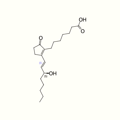 CCCCC[C@H](O)/C=C/C1=C(CCCCCCC(=O)O)C(=O)CC1